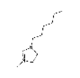 CCCCCCN1C=[N+](C)CC1